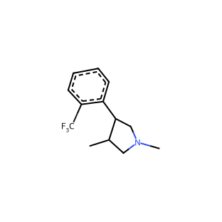 CC1CN(C)CC1c1ccccc1C(F)(F)F